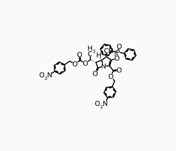 CC(OC(=O)OCc1ccc([N+](=O)[O-])cc1)[C@H]1C(=O)N2C(C(=O)OCc3ccc([N+](=O)[O-])cc3)=C(OP(=O)(c3ccccc3)c3ccccc3)[C@H](C)[C@H]12